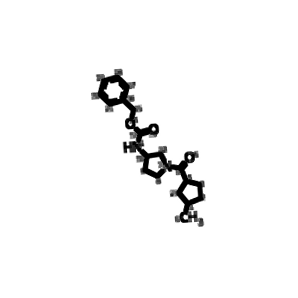 CC1CCC(C(=O)N2CCC(NC(=O)OCc3ccccc3)C2)C1